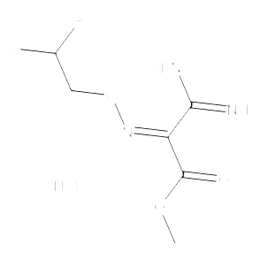 COC(=O)C(=NOCC(F)F)C(=N)N.Cl